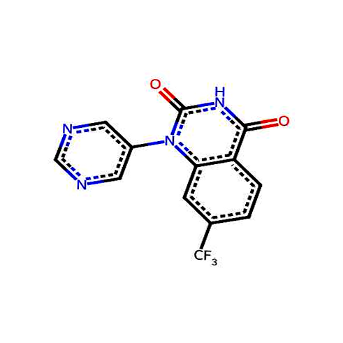 O=c1[nH]c(=O)n(-c2cncnc2)c2cc(C(F)(F)F)ccc12